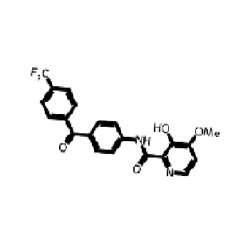 COc1ccnc(C(=O)Nc2ccc(C(=O)c3ccc(C(F)(F)F)cc3)cc2)c1O